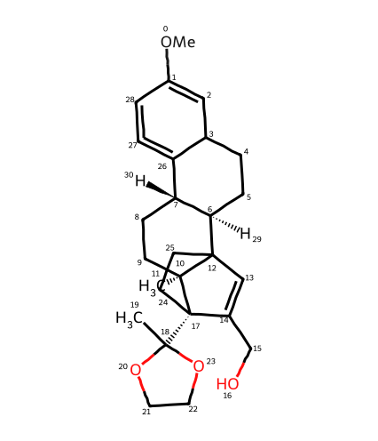 COC1=CC2CC[C@@H]3[C@H](CC[C@@]4(C)C35C=C(CO)[C@@]4(C3(C)OCCO3)CC5)C2=C=C1